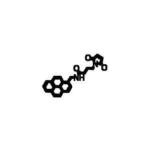 O=C(CCCN1C(=O)C=CC1=O)NCC1=C2C=Cc3cccc4c3C2C(C=C1)C=C4